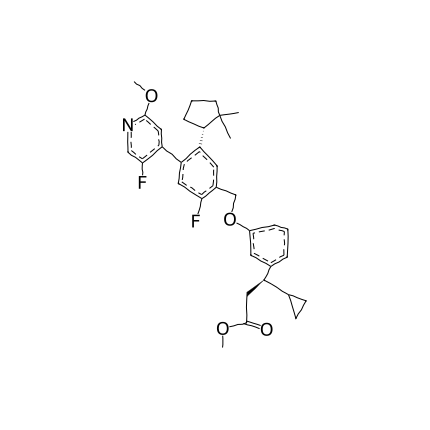 COC(=O)C[C@@H](c1cccc(OCc2cc([C@@H]3CCCC3(C)C)c(-c3cc(OC)ncc3F)cc2F)c1)C1CC1